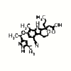 CCCC1(CC(=O)O)OCCc2c1[nH]c1c(C)c(OC(C)c3cc(C)[nH]n3)cc(C#N)c21